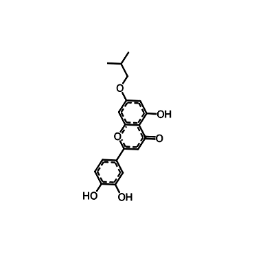 CC(C)COc1cc(O)c2c(=O)cc(-c3ccc(O)c(O)c3)oc2c1